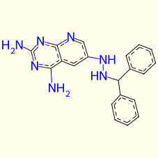 Nc1nc(N)c2cc(NNC(c3ccccc3)c3ccccc3)cnc2n1